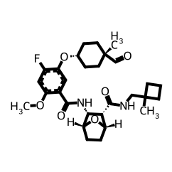 COc1cc(F)c(O[C@H]2CC[C@@](C)(C=O)CC2)cc1C(=O)N[C@@H]1[C@H](C(=O)NCC2(C)CCC2)[C@@H]2CC[C@H]1O2